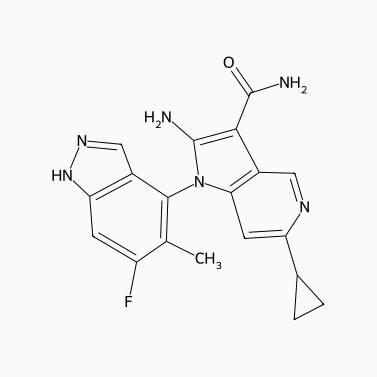 Cc1c(F)cc2[nH]ncc2c1-n1c(N)c(C(N)=O)c2cnc(C3CC3)cc21